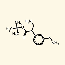 CSc1cccc(C(CN)C(=O)OC(C)(C)C)c1